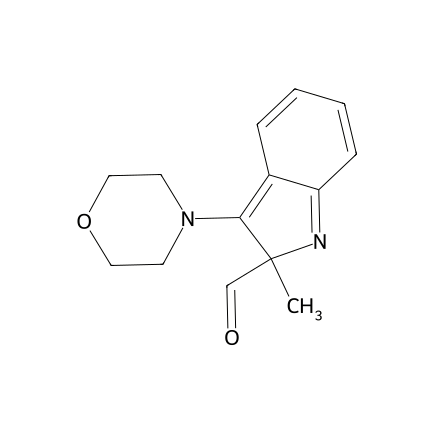 CC1(C=O)N=c2ccccc2=C1N1CCOCC1